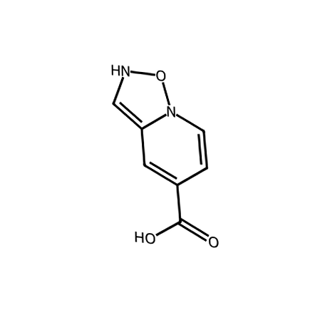 O=C(O)C1=CC2=CNON2C=C1